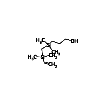 C=C[Si](C)(C)C[Si](C)(C)CCCO